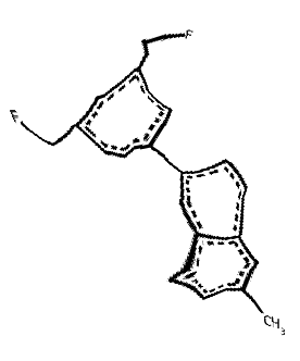 Cc1ccc2cc(-c3cc(CF)cc(CF)c3)ccc2c1